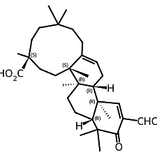 CC1(C)CCC2=CC[C@@H]3[C@@]4(C)C=C(C=O)C(=O)C(C)(C)[C@@H]4CC[C@@]3(C)[C@]2(C)CC[C@@](C)(C(=O)O)CC1